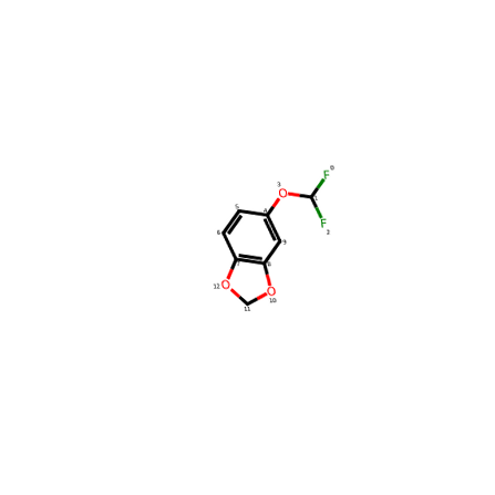 FC(F)Oc1ccc2c(c1)OCO2